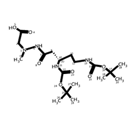 CN(CC(=O)O)NC(=O)C[C@H](CCNC(=O)OC(C)(C)C)NC(=O)OC(C)(C)C